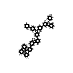 c1ccc(-c2ccc(N(c3ccc(-c4ccc5c(c4)c4ccccc4n5-c4ccccc4)cc3)c3ccc(-c4cccc5c4oc4ccc(-c6ccc7c(c6)C(c6ccccc6)(c6ccccc6)c6ccccc6-7)cc45)cc3)cc2)cc1